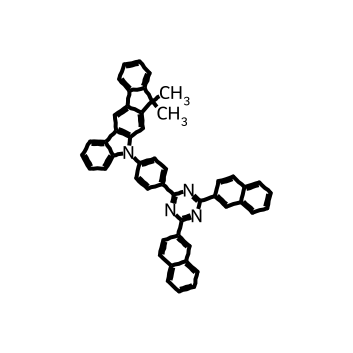 CC1(C)c2ccccc2-c2cc3c4ccccc4n(-c4ccc(-c5nc(-c6ccc7ccccc7c6)nc(-c6ccc7ccccc7c6)n5)cc4)c3cc21